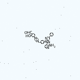 Nc1ncccc1-c1nc2cc(-c3ccccc3)cnc2n1-c1ccc(CN2CCN(c3ccc(C=O)c(O)c3)CC2)cc1